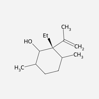 C=C(C)[C@]1(CC)C(C)CCC(C)C1O